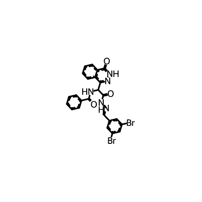 O=C(NC(C(=O)NN=Cc1cc(Br)cc(Br)c1)c1n[nH]c(=O)c2ccccc12)c1ccccc1